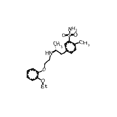 CCOc1ccccc1OCCN[C@H](C)Cc1ccc(C)c(S(N)(=O)=O)c1